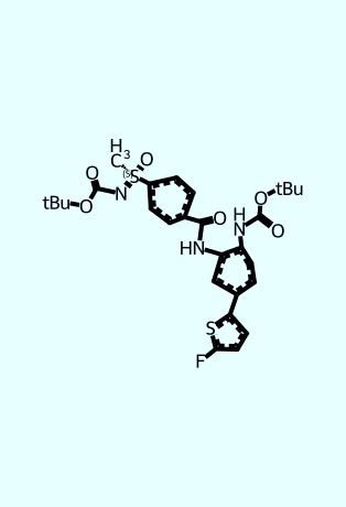 CC(C)(C)OC(=O)N=[S@@](C)(=O)c1ccc(C(=O)Nc2cc(-c3ccc(F)s3)ccc2NC(=O)OC(C)(C)C)cc1